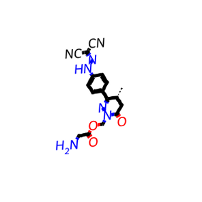 C[C@@H]1CC(=O)N(COC(=O)CN)N=C1c1ccc(NN=C(C#N)C#N)cc1